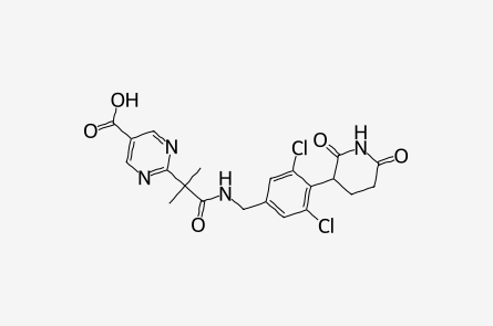 CC(C)(C(=O)NCc1cc(Cl)c(C2CCC(=O)NC2=O)c(Cl)c1)c1ncc(C(=O)O)cn1